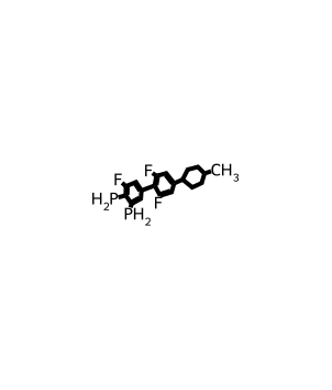 CC1CCC(c2cc(F)c(-c3cc(F)c(P)c(P)c3)c(F)c2)CC1